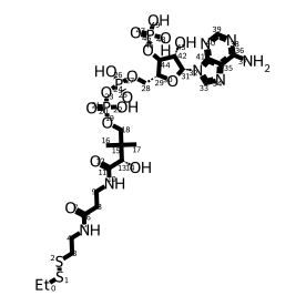 CCSSCCNC(=O)CCNC(=O)[C@@H](O)C(C)(C)COP(=O)(O)OP(=O)(O)OC[C@H]1O[C@@H](n2cnc3c(N)ncnc32)[C@@H](O)C1OP(=O)(O)O